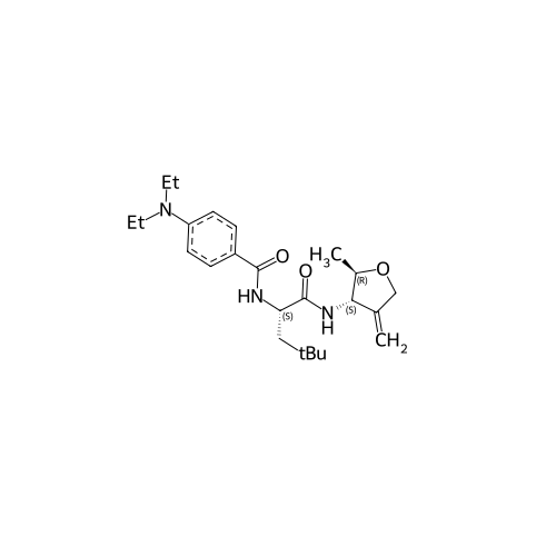 C=C1CO[C@H](C)[C@H]1NC(=O)[C@H](CC(C)(C)C)NC(=O)c1ccc(N(CC)CC)cc1